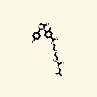 Cc1cc(C(=O)OCCOCCNC(=O)OCC(C)C)ccc1N1C(=O)CSC1c1ccc(F)cc1